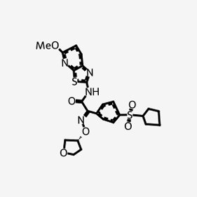 COc1ccc2nc(NC(=O)/C(=N/O[C@@H]3CCOC3)c3ccc(S(=O)(=O)C4CCCC4)cc3)sc2n1